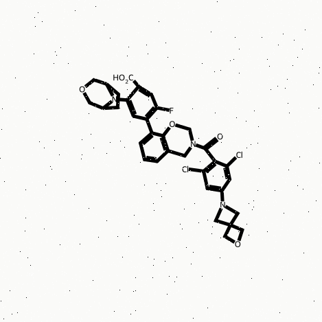 O=C(O)c1cc(F)c(-c2cccc3c2OCN(C(=O)c2c(Cl)cc(N4CC5(COC5)C4)cc2Cl)C3)cc1N1C2CCC1COC2